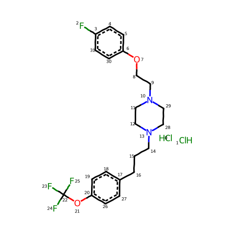 Cl.Cl.Fc1ccc(OCCN2CCN(CCCc3ccc(OC(F)(F)F)cc3)CC2)cc1